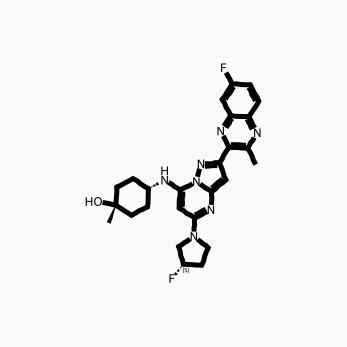 Cc1nc2ccc(F)cc2nc1-c1cc2nc(N3CC[C@H](F)C3)cc(N[C@H]3CC[C@@](C)(O)CC3)n2n1